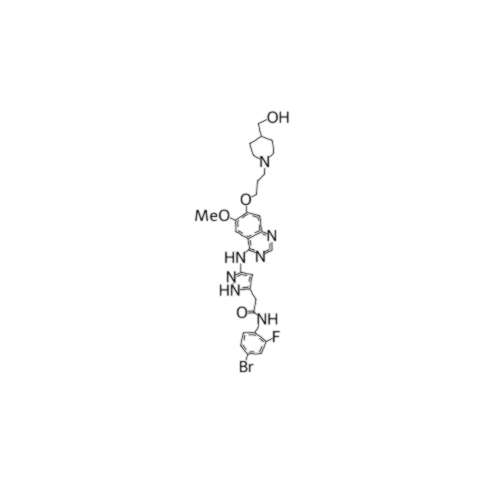 COc1cc2c(Nc3cc(CC(=O)Nc4ccc(Br)cc4F)[nH]n3)ncnc2cc1OCCCN1CCC(CO)CC1